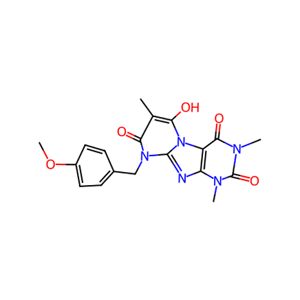 COc1ccc(Cn2c(=O)c(C)c(O)n3c4c(=O)n(C)c(=O)n(C)c4nc23)cc1